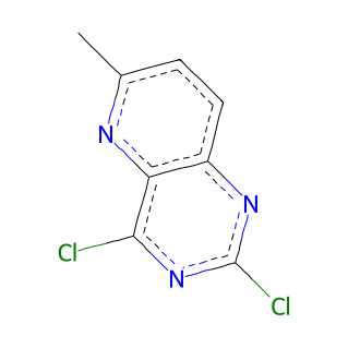 Cc1ccc2nc(Cl)nc(Cl)c2n1